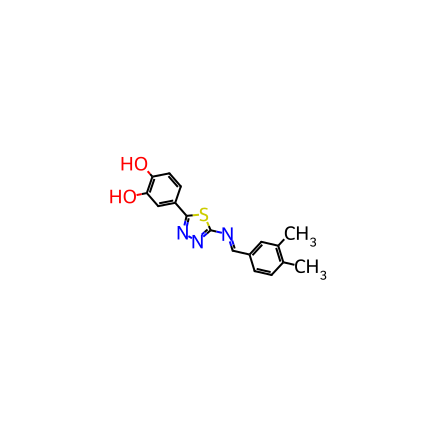 Cc1ccc(C=Nc2nnc(-c3ccc(O)c(O)c3)s2)cc1C